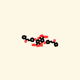 O=C(C=Cc1ccc(Oc2cc(C(=O)O)c(C(=O)O)c(-c3cc(Oc4ccc(C=CC(=O)c5ccccc5)cc4)cc(C(=O)O)c3C(=O)O)c2)cc1)c1ccccc1